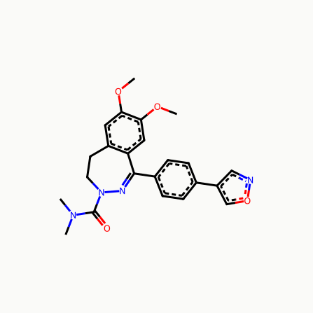 COc1cc2c(cc1OC)C(c1ccc(-c3cnoc3)cc1)=NN(C(=O)N(C)C)CC2